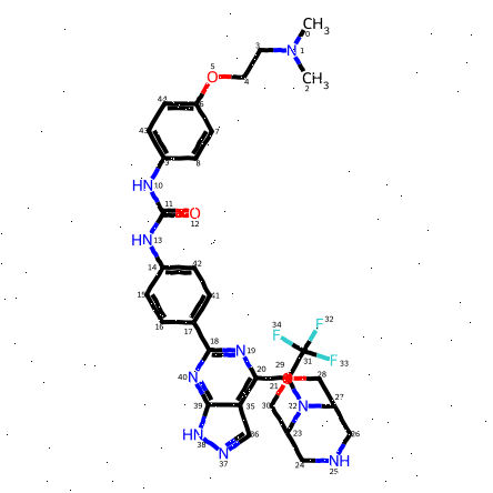 CN(C)CCOc1ccc(NC(=O)Nc2ccc(-c3nc(C(N4C5CNCC4COC5)C(F)(F)F)c4cn[nH]c4n3)cc2)cc1